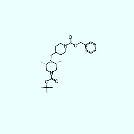 C[C@@H]1CN(C(=O)OC(C)(C)C)C[C@H](C)N1CC1CCN(C(=O)OCc2ccccc2)CC1